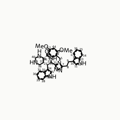 COc1ccc(Cn2c(CCc3c[nH]c4ccccc34)nnc2[C@@H](Cc2c[nH]c3ccccc23)NC(=O)[C@@H]2CCNCN2)c(OC)c1